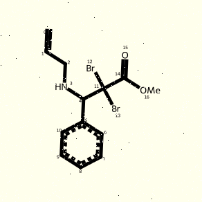 C=CCNC(c1ccccc1)C(Br)(Br)C(=O)OC